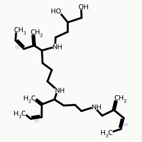 C=C(/C=C\C)CNCCCC(NCCCC(NCCC(O)CO)C(=C)/C=C\C)C(=C)/C=C\C